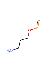 C=POCCCN